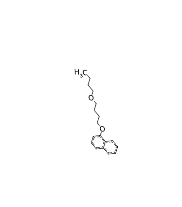 CCCCOCCCCOc1cccc2ccccc12